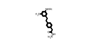 CC(=O)Nc1cc(CCc2ccc(CC(=O)NN)cc2)cc(C(F)(F)F)c1